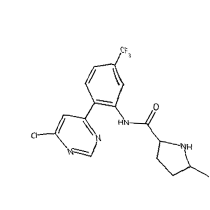 CC1CCC(C(=O)Nc2cc(C(F)(F)F)ccc2-c2cc(Cl)ncn2)N1